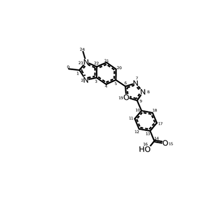 Cc1nc2cc(-c3nnc(-c4ccc(C(=O)O)cc4)o3)ccc2n1C